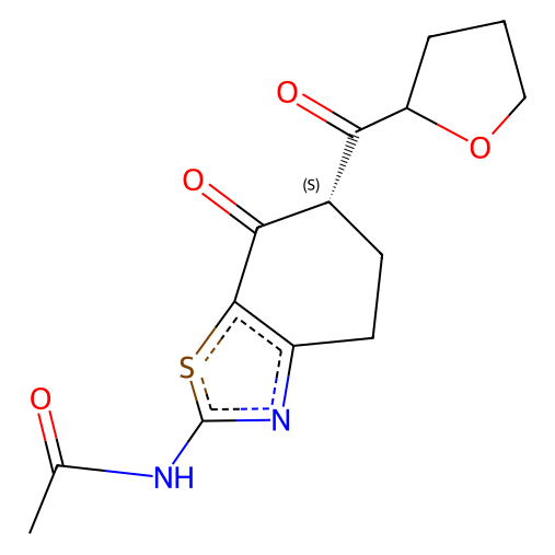 CC(=O)Nc1nc2c(s1)C(=O)[C@H](C(=O)C1CCCO1)CC2